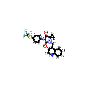 O=C1N(c2ccc(SC(F)(F)F)cc2)C(=O)C2(CC2)N1Cc1ccnc2ccccc12